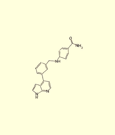 NC(=O)c1ccc(NCc2cccc(-c3ccnc4[nH]ccc34)c2)cc1